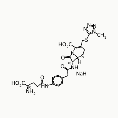 Cn1nnnc1SCC1=C(C(=O)O)N2C(=O)[C@@H](NC(=O)Cc3ccc(NC(=O)CC[C@@H](N)C(=O)O)cc3)[C@H]2SC1.[NaH]